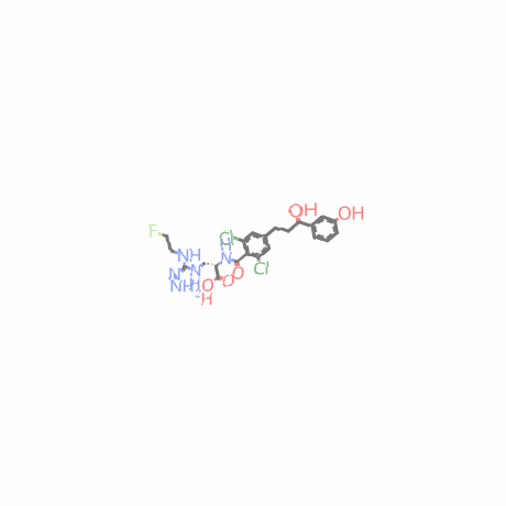 N/N=C(/NCCF)NC[C@H](NC(=O)c1c(Cl)cc(CCC(O)c2cccc(O)c2)cc1Cl)C(=O)O